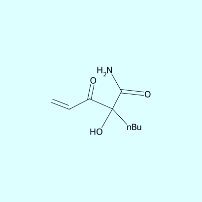 C=CC(=O)C(O)(CCCC)C(N)=O